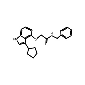 O=C(COc1cccc2[nH]cc(C3CCCC3)c12)NCc1ccccc1